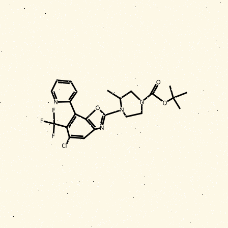 CC1CN(C(=O)OC(C)(C)C)CCN1c1nc2cc(Cl)c(C(F)(F)F)c(-c3ccccn3)c2o1